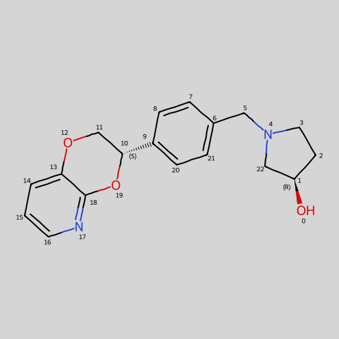 O[C@@H]1CCN(Cc2ccc([C@H]3COc4cccnc4O3)cc2)C1